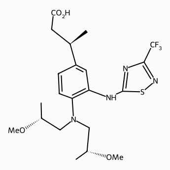 CO[C@H](C)CN(C[C@@H](C)OC)c1ccc([C@H](C)CC(=O)O)cc1Nc1nc(C(F)(F)F)ns1